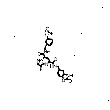 CC(F)Oc1cccc(CNC(=O)c2cc(C(=O)NCc3ccc4oc(=O)[nH]c4c3)nc3c(F)cnn23)c1